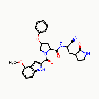 COc1cccc2[nH]c(C(=O)N3CC(Oc4ccccc4)CC3C(=O)NC(C#N)CC3CCNC3=O)cc12